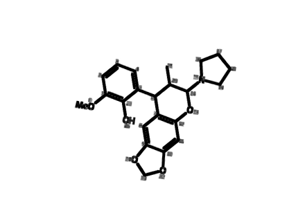 COc1cccc(C2c3cc4c(cc3OC(N3CCCC3)C2C)OCO4)c1O